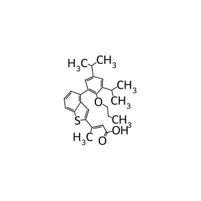 CCCOc1c(-c2cccc3sc(C(C)=CC(=O)O)cc23)cc(C(C)C)cc1C(C)C